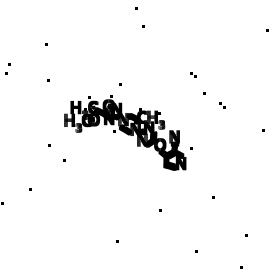 CO[C@H](C)c1nc(N2CCN(c3ncc(OCc4ccncc4C#N)cn3)C(C)C2)no1